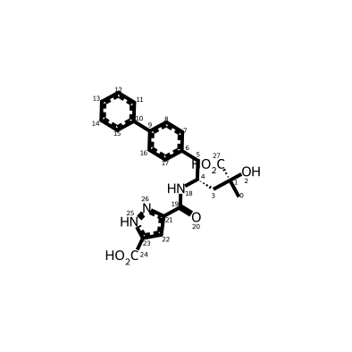 C[C@](O)(C[C@@H](Cc1ccc(-c2ccccc2)cc1)NC(=O)c1cc(C(=O)O)[nH]n1)C(=O)O